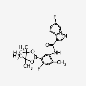 Cc1cc(F)c(B2OC(C)(C)C(C)(C)O2)cc1NC(=O)c1cnn2cc(F)ccc12